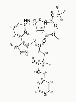 COC(=O)[C@@H]1C[C@H](Nc2cccc(-c3c(COCCN(C)C(=O)OCc4ccccc4)ncn3C)n2)CN1C(=O)OC(C)(C)C